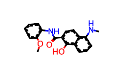 CNc1cccc2c(O)c(C(=O)Nc3ccccc3OC)ccc12